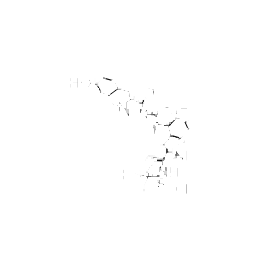 CN(C)[C@@H](Cc1ccc(O)cc1)C(=O)N[C@H](CS)C(=O)c1ccccc1C[C@H](N)C(=O)N[C@@H](C(=O)O)C(C)(C)S